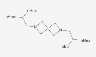 CCCCCCC(CCCC)CN1CC2(C1)CN(CC(CCCCCC)CCCCCC)C2